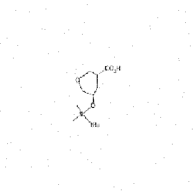 CC(C)(C)[Si](C)(C)O[C@H]1COC[C@H](C(=O)O)C1